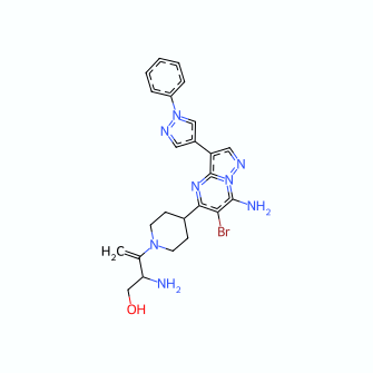 C=C(C(N)CO)N1CCC(c2nc3c(-c4cnn(-c5ccccc5)c4)cnn3c(N)c2Br)CC1